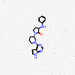 O=C1C(Nc2ccccc2)CCN1[C@@H]1CCCN(c2ncnc3[nH]ccc23)C1